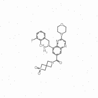 Cc1c(F)cccc1CN(C)c1cc(C(=O)N2CC3(C2)CS(=O)(=O)C3)cc2ncc(N3CCOCC3)nc12